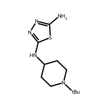 CC(C)(C)N1CCC(Nc2nnc(N)s2)CC1